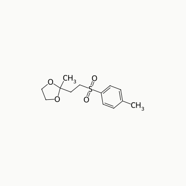 Cc1ccc(S(=O)(=O)CCC2(C)OCCO2)cc1